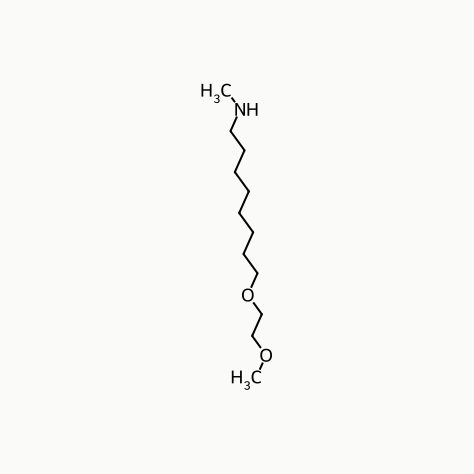 CNCCCCCCCCOCCOC